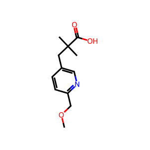 COCc1ccc(CC(C)(C)C(=O)O)cn1